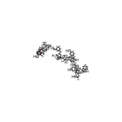 CC[C@H](NC(=O)[C@@](C)(NC(=O)[C@H](Cc1ccc(O)cc1)NC(=O)CNC(=O)C1(NC(=O)[C@H](Cc2c[nH]c3ncccc23)NC(=O)C[C@@H](C)O)CCNCC1)C(C)C)C(=O)N[C@H](CSCc1cccc(CSCCC(=O)N[C@H](C(=O)N[C@@H](Cc2ccc(O)cc2)C(=O)N2CCC[C@H]2C(N)=O)C(C)(C)C)c1)C(N)=O